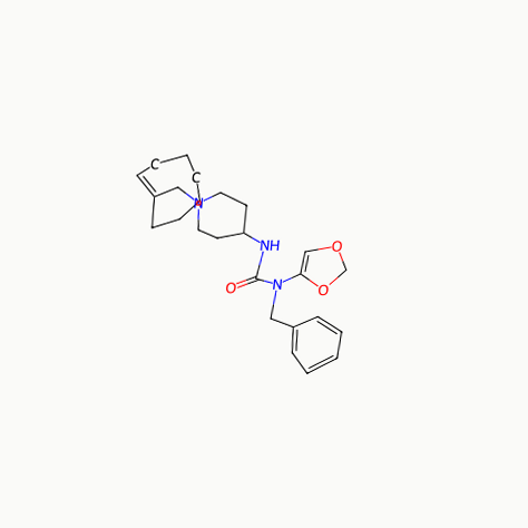 O=C(NC1CCN(C/C2=C\CCCCCC2)CC1)N(Cc1ccccc1)C1=COCO1